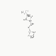 CN1CC(OCC2COC2)C1